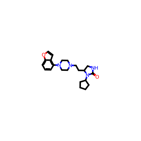 O=C1NCC(CCN2CCN(c3cccc4occc34)CC2)N1C1CCCC1